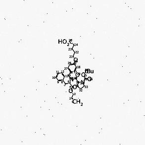 C=CCOC(=O)C(Cc1ccccc1)N(Cc1ccc(OCCCCC(=O)O)cc1)C(=O)C1CCCN1C(=O)OC(C)(C)C